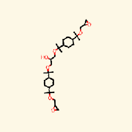 CC(C)(OCC(O)COC(C)(C)C1CCC(C(C)(C)OCC2CO2)CC1)C1CCC(C(C)(C)OCC2CO2)CC1